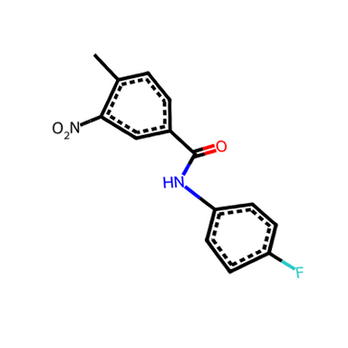 Cc1ccc(C(=O)Nc2ccc(F)cc2)cc1[N+](=O)[O-]